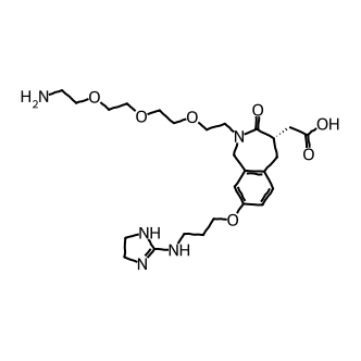 NCCOCCOCCOCCN1Cc2cc(OCCCNC3=NCCN3)ccc2C[C@@H](CC(=O)O)C1=O